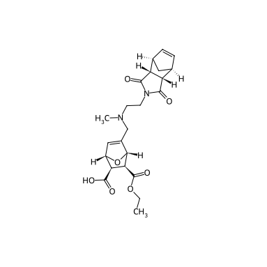 CCOC(=O)[C@H]1[C@@H](C(=O)O)[C@@H]2C=C(CN(C)CCN3C(=O)[C@@H]4[C@H](C3=O)[C@H]3C=C[C@@H]4C3)[C@H]1O2